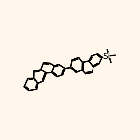 C[Si](C)(C)c1ccc2c(ccc3cc(-c4ccc5c(ccc6cc7ccccc7cc65)c4)ccc32)c1